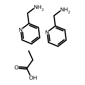 CCC(=O)O.NCc1ccccn1.NCc1ccccn1